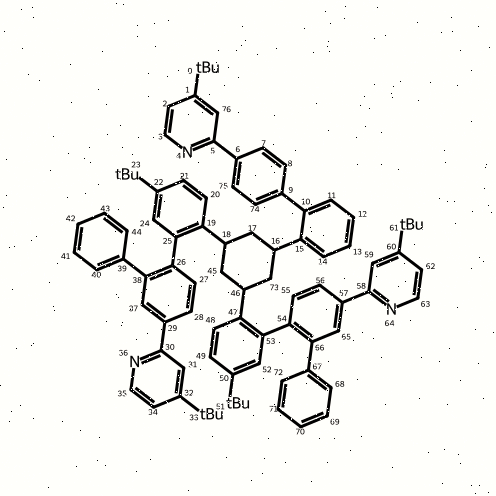 CC(C)(C)c1ccnc(-c2ccc(-c3ccccc3C3CC(c4ccc(C(C)(C)C)cc4-c4ccc(-c5cc(C(C)(C)C)ccn5)cc4-c4ccccc4)CC(c4ccc(C(C)(C)C)cc4-c4ccc(-c5cc(C(C)(C)C)ccn5)cc4-c4ccccc4)C3)cc2)c1